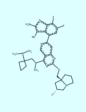 CN(CC1(N(C)C)CCC1)c1nc(OC[C@@]23CCCN2C[C@H](F)C3)nc2cc(-c3cc(F)c(F)c4sc(N)c(C#N)c34)ncc12